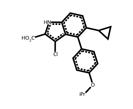 CC(C)Oc1ccc(-c2c(C3CC3)ccc3[nH]c(C(=O)O)c(Cl)c23)cc1